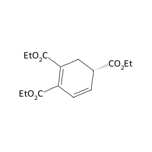 CCOC(=O)C1=C(C(=O)OCC)C[C@H](C(=O)OCC)C=C1